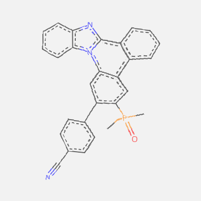 CP(C)(=O)c1cc2c3ccccc3c3nc4ccccc4n3c2cc1-c1ccc(C#N)cc1